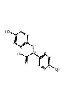 O=C(S)[C@@H](Sc1ccc(O)cc1)c1ccc(O)cc1